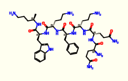 C[C@H](CCCN)NC(=O)[C@H](Cc1c[nH]c2ccccc12)NC(=O)[C@H](CCCN)NC(=O)[C@H](Cc1ccccc1)NC(=O)[C@H](CCCN)NC(=O)[C@H](CCC(N)=O)NC(=O)[C@@H](N)CCC(N)=O